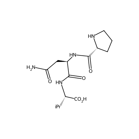 CC(C)[C@H](NC(=O)[C@@H](CC(N)=O)NC(=O)[C@H]1CCCN1)C(=O)O